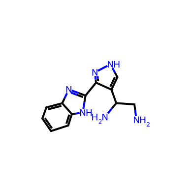 NCC(N)c1c[nH]nc1-c1nc2ccccc2[nH]1